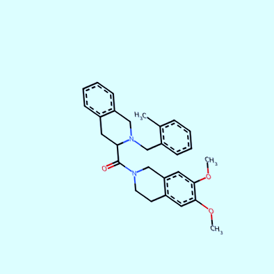 COc1cc2c(cc1OC)CN(C(=O)C1Cc3ccccc3CN1Cc1ccccc1C)CC2